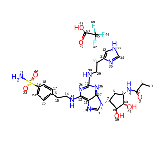 CCC(=O)N[C@H]1C[C@@H](n2cnc3c(NCCc4ccc(S(N)(=O)=O)cc4)nc(NCCc4c[nH]cn4)nc32)[C@H](O)[C@@H]1O.O=C(O)C(F)(F)F